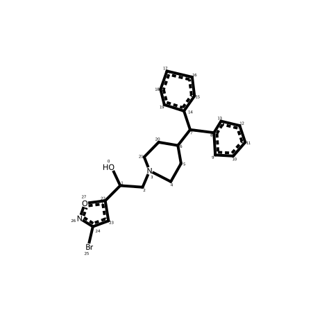 OC(CN1CCC(C(c2ccccc2)c2ccccc2)CC1)c1cc(Br)no1